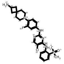 CP(C)(=O)c1ccccc1Nc1nc(Nc2ccc(N3CCC4(CC3)CC(N)C4)c(F)c2)ncc1Cl